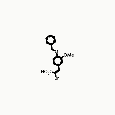 COc1cc(/C=C(/Br)C(=O)O)ccc1OCc1ccccc1